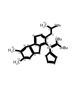 CCCC[C](CCCC)=[Zr]([C]1=CC=CC1)[c]1c(CC(C)C(C)C)ccc2c1Cc1cc(C)c(C)cc1-2